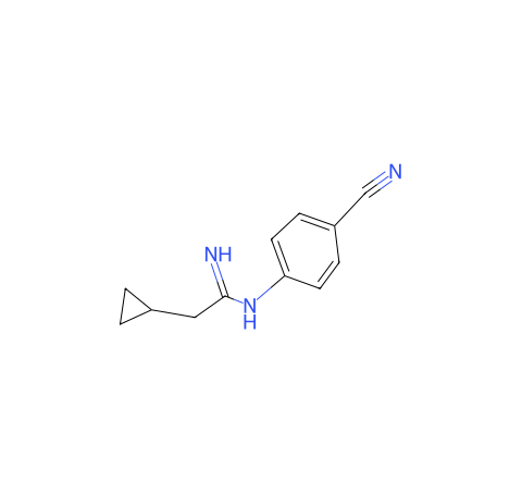 N#Cc1ccc(NC(=N)CC2CC2)cc1